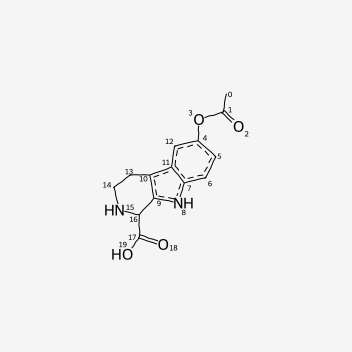 CC(=O)Oc1ccc2[nH]c3c(c2c1)CCNC3C(=O)O